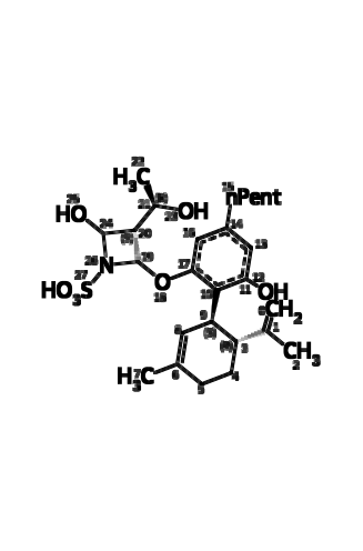 C=C(C)[C@@H]1CCC(C)=C[C@H]1c1c(O)cc(CCCCC)cc1OC1[C@@H]([C@@H](C)O)C(O)N1S(=O)(=O)O